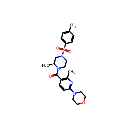 Cc1nc(N2CCOCC2)ccc1C(=O)N1CCN(S(=O)(=O)c2ccc(C(F)(F)F)cc2)C[C@@H]1C